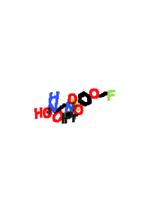 CC(C)CN(CC(=O)NO)S(=O)(=O)c1ccc(OCCF)cc1